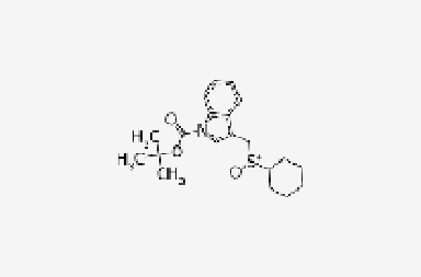 CC(C)(C)OC(=O)n1cc(C[S+]([O-])C2CCCCC2)c2ccccc21